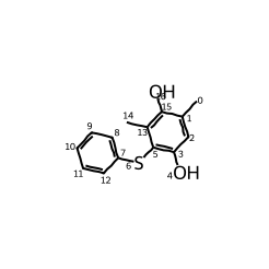 Cc1cc(O)c(Sc2ccccc2)c(C)c1O